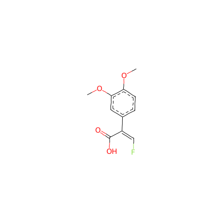 COc1ccc(C(=CF)C(=O)O)cc1OC